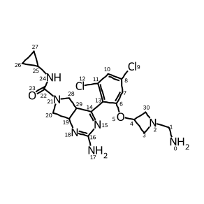 NCN1CC(Oc2cc(Cl)cc(Cl)c2C2=NC(N)=NC3CN(C(=O)NC4CC4)CC23)C1